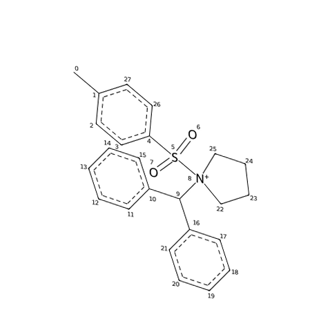 Cc1ccc(S(=O)(=O)[N+]2(C(c3ccccc3)c3ccccc3)CCCC2)cc1